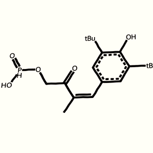 CC(=Cc1cc(C(C)(C)C)c(O)c(C(C)(C)C)c1)C(=O)CO[PH](=O)O